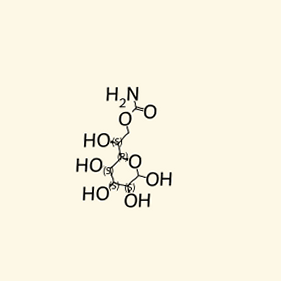 NC(=O)OC[C@H](O)[C@H]1OC(O)[C@@H](O)[C@@H](O)[C@@H]1O